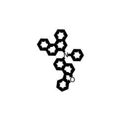 c1ccc(N(c2cccc3c2ccc2oc4ccccc4c23)c2cc3ccccc3c3c2ccc2ccccc23)cc1